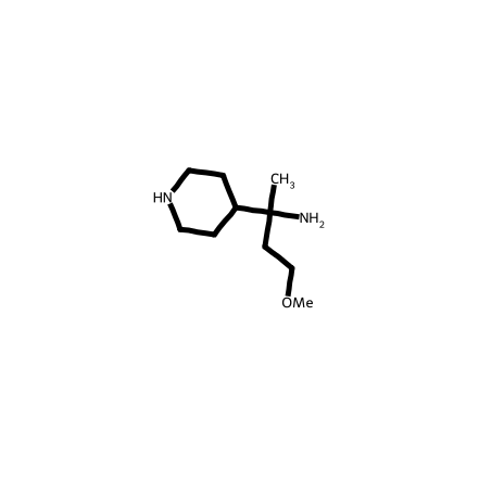 COCCC(C)(N)C1CCNCC1